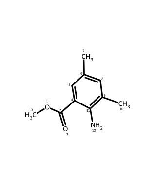 COC(=O)c1cc(C)cc(C)c1N